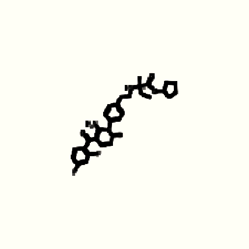 CC[C@](C)(NCCc1ccc(-n2c(N)c(C(=O)c3ccc(F)cc3F)ccc2=O)cc1)C(=O)OC1CCCC1